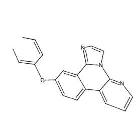 C/C=C\C(=C/C)Oc1ccc2c3cccnc3n3ccnc3c2c1